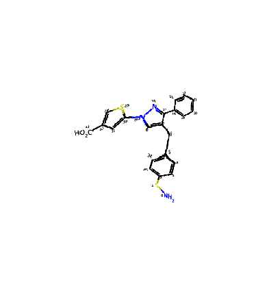 NSc1ccc(Cc2cn(-c3cc(C(=O)O)cs3)nc2-c2ccccc2)cc1